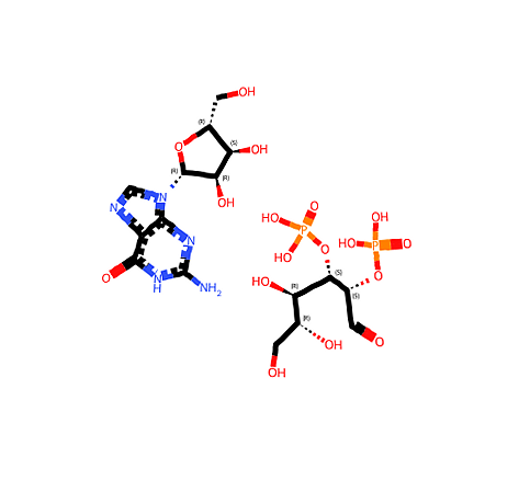 Nc1nc2c(ncn2[C@@H]2O[C@H](CO)[C@@H](O)[C@H]2O)c(=O)[nH]1.O=C[C@@H](OP(=O)(O)O)[C@@H](OP(=O)(O)O)[C@H](O)[C@H](O)CO